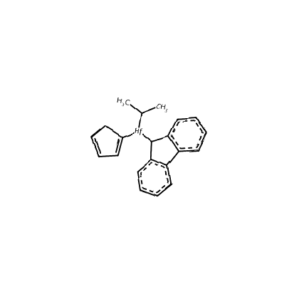 C[CH](C)[Hf]([C]1=CC=CC1)[CH]1c2ccccc2-c2ccccc21